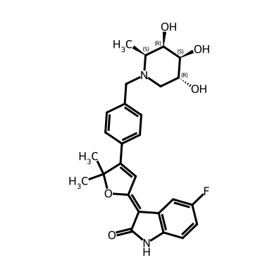 C[C@H]1[C@@H](O)[C@@H](O)[C@H](O)CN1Cc1ccc(C2=CC(=C3C(=O)Nc4ccc(F)cc43)OC2(C)C)cc1